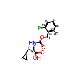 O=C(N[C@@H](CC1CC1)C(=O)O)OCc1c(F)cccc1F